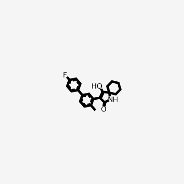 Cc1ccc(-c2ccc(F)cc2)cc1C1=C(O)C2(CCCCC2)NC1=O